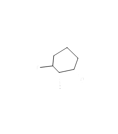 C[C@@H]1C(F)CCC[C@@H]1Br